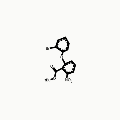 CC(C)(C)OC(=O)c1c(Oc2ccccc2Br)cccc1[N+](=O)[O-]